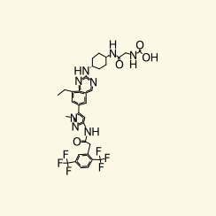 CCc1cc(-c2cc(NC(=O)Cc3cc(C(F)(F)F)ccc3C(F)(F)F)nn2C)cc2cnc(N[C@H]3CC[C@H](NC(=O)CNC(=O)O)CC3)nc12